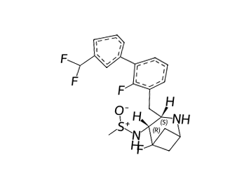 C[S+]([O-])N[C@@H]1[C@H](Cc2cccc(-c3cccc(C(F)F)c3)c2F)NC2CC1(F)C2